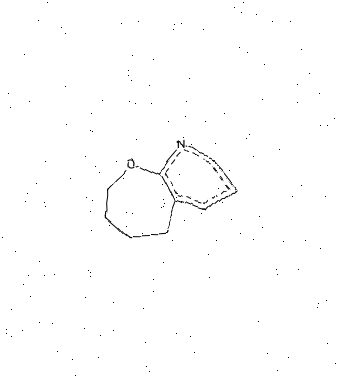 c1cnc2c(c1)CCCCO2